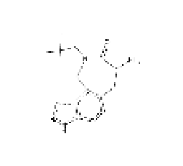 CC(C)(C)CN1Cc2c(ccc3[nH]ncc23)CC(N)C1=O